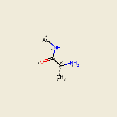 CC(=O)NC(=O)[C@@H](C)N